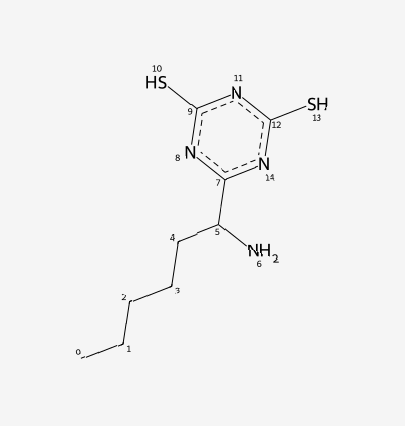 CCCCCC(N)c1nc(S)nc(S)n1